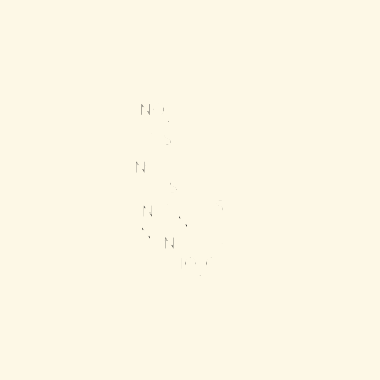 O=C(O)c1ccsc1-n1nnnc1Sc1ncc([N+](=O)[O-])s1